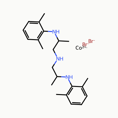 Cc1cccc(C)c1NC(C)CNCC(C)Nc1c(C)cccc1C.[Br-].[Br-].[Co+2]